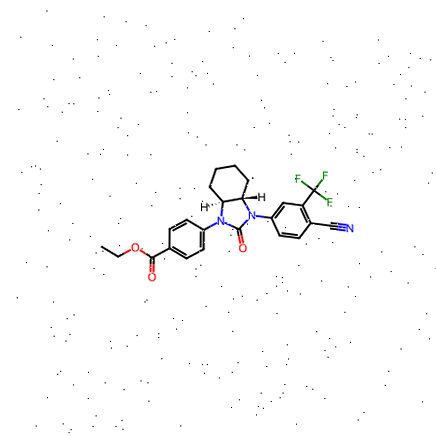 CCOC(=O)c1ccc(N2C(=O)N(c3ccc(C#N)c(C(F)(F)F)c3)[C@H]3CCCC[C@@H]32)cc1